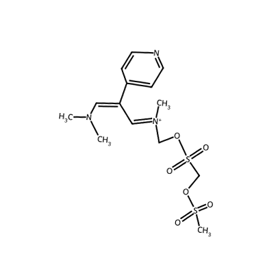 CN(C)C=C(C=[N+](C)COS(=O)(=O)COS(C)(=O)=O)c1ccncc1